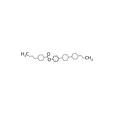 CCCCC1CCC(C(=O)Oc2ccc(C3CCC(C4CCC(CCC)CC4)CC3)cc2)CC1